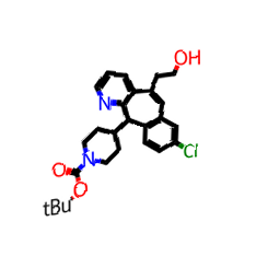 CC(C)(C)OC(=O)N1CCC(C2c3ccc(Cl)cc3C=C(CCO)c3cccnc32)CC1